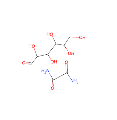 NC(=O)C(N)=O.O=CC(O)C(O)C(O)C(O)CO